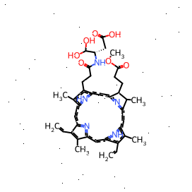 C=CC1=C(C)c2cc3[nH]c(cc4nc(cc5[nH]c(cc1n2)c(C)c5CCC(=O)N[C@@H](CC(=O)O)C(O)O)C(CCC(=O)OC)C4C)c(C)c3C=C